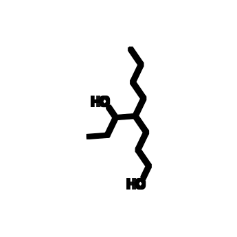 CCCCC(CCCO)C(O)CC